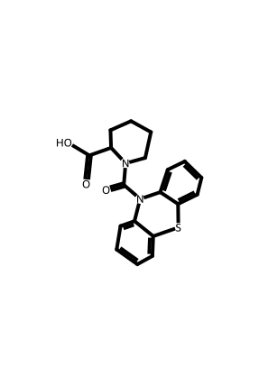 O=C(O)C1CCCCN1C(=O)N1c2ccccc2Sc2ccccc21